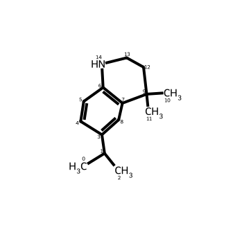 CC(C)c1ccc2c(c1)C(C)(C)CCN2